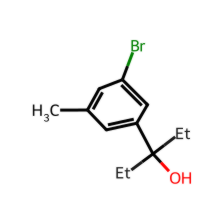 CCC(O)(CC)c1cc(C)cc(Br)c1